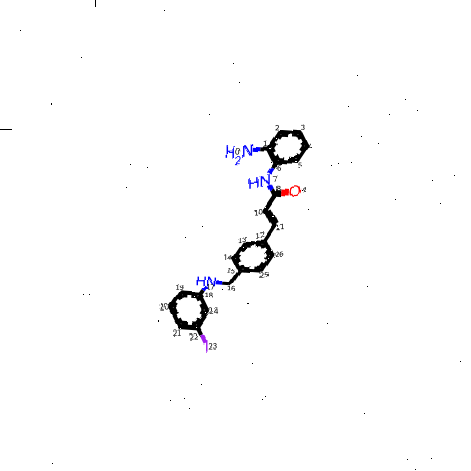 Nc1ccccc1NC(=O)/C=C/c1ccc(CNc2cccc(I)c2)cc1